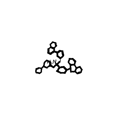 N[C@@](CC1CCCC(C2C=CCCC2)C1)(C[C@H]1C=CC=C(c2cccc3c2C=CCC3)C1)C1CCCC(C2CC3C=CCCC3C3C=CCCC32)C1